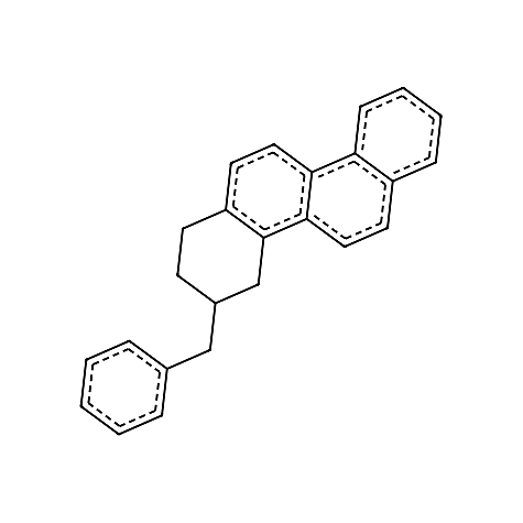 c1ccc(CC2CCc3ccc4c(ccc5ccccc54)c3C2)cc1